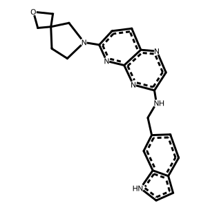 c1cc2ccc(CNc3cnc4ccc(N5CCC6(COC6)C5)nc4n3)cc2[nH]1